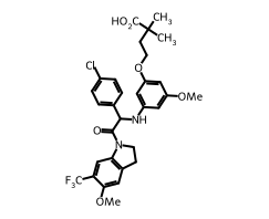 COc1cc(NC(C(=O)N2CCc3cc(OC)c(C(F)(F)F)cc32)c2ccc(Cl)cc2)cc(OCCC(C)(C)C(=O)O)c1